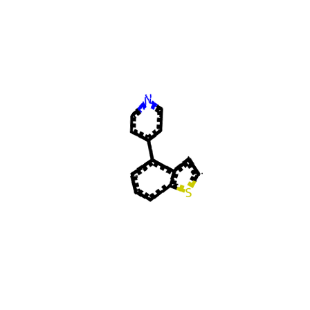 [c]1cc2c(-c3ccncc3)cccc2s1